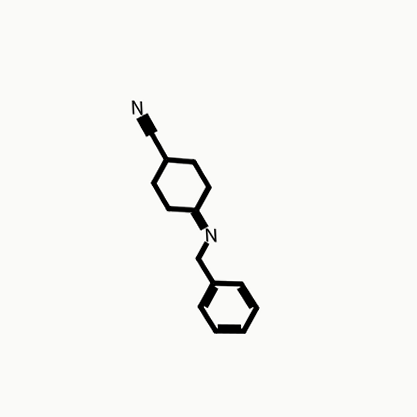 N#CC1CCC(=NCc2ccccc2)CC1